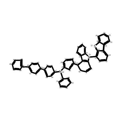 C1=Cc2c(c3ccccc3n2-c2cccc3c2sc2ccccc23)C(c2cccc(N(c3ccccc3)c3ccc(-c4ccc(-c5ccccc5)cc4)cc3)c2)C1